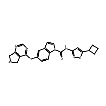 O=C(Nc1cc(C2CCC2)on1)n1ccc2cc(Oc3ncnc4c3CNC4)ccc21